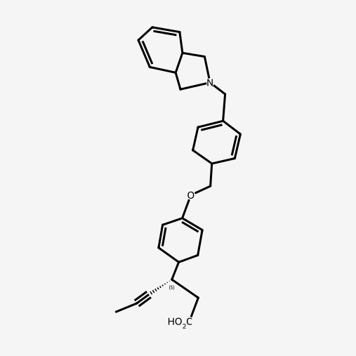 CC#C[C@@H](CC(=O)O)C1C=CC(OCC2C=CC(CN3CC4C=CC=CC4C3)=CC2)=CC1